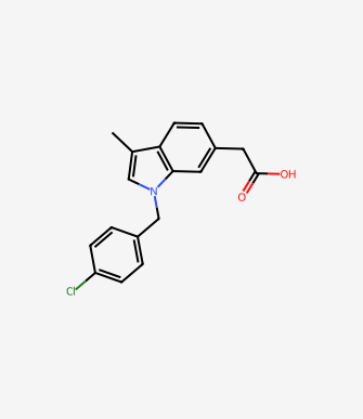 Cc1cn(Cc2ccc(Cl)cc2)c2cc(CC(=O)O)ccc12